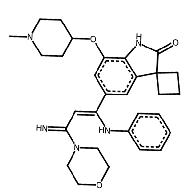 CN1CCC(Oc2cc(/C(=C/C(=N)N3CCOCC3)Nc3ccccc3)cc3c2NC(=O)C32CCC2)CC1